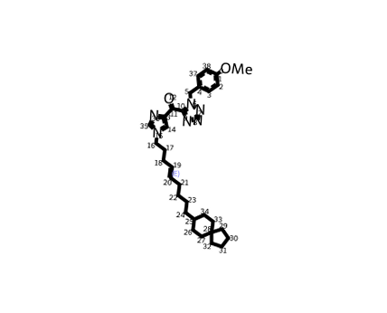 COc1ccc(Cn2nnnc2C(=O)c2cn(CCC/C=C/CCCCC3CCC4(CCCC4)CC3)cn2)cc1